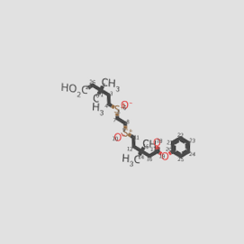 CC(C)(CC[S+]([O-])CC[S+]([O-])CCC(C)(C)CC(=O)Oc1ccccc1)CC(=O)O